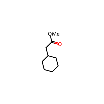 [CH2]OC(=O)CC1CCCCC1